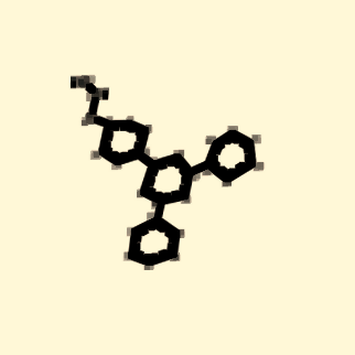 OBOc1ccc(-c2cc(-c3ccccc3)cc(-c3ccccc3)c2)cc1